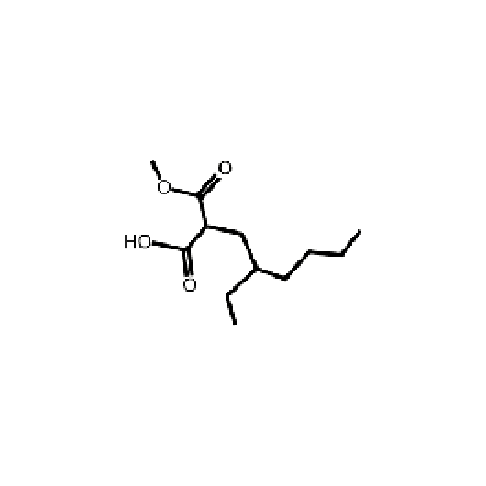 CCCCC(CC)CC(C(=O)O)C(=O)OC